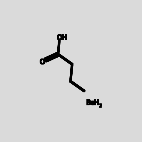 CCCC(=O)O.[BeH2]